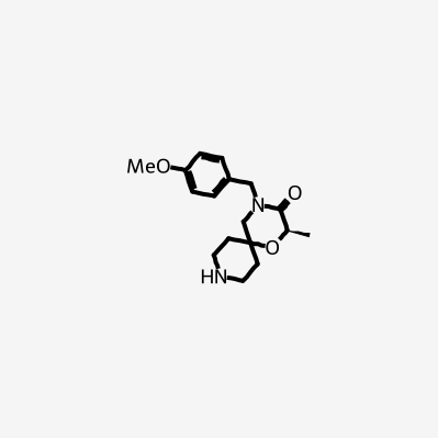 COc1ccc(CN2CC3(CCNCC3)O[C@H](C)C2=O)cc1